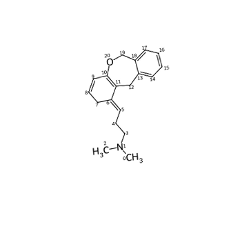 CN(C)CCC=C1CC=CC2=C1Cc1ccccc1CO2